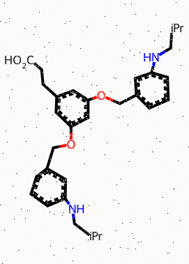 CC(C)CNc1cccc(COc2cc(CCC(=O)O)cc(OCc3cccc(NCC(C)C)c3)c2)c1